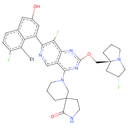 CCc1c(F)ccc2cc(O)cc(-c3ncc4c(N5CCCC6(CCNC6=O)C5)nc(OC[C@@]56CCCN5C[C@H](F)C6)nc4c3F)c12